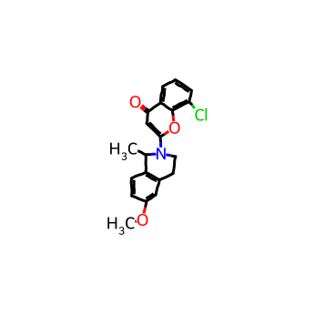 COc1ccc2c(c1)CCN(c1cc(=O)c3cccc(Cl)c3o1)C2C